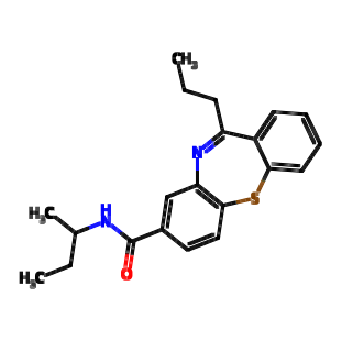 CCCC1=Nc2cc(C(=O)NC(C)CC)ccc2Sc2ccccc21